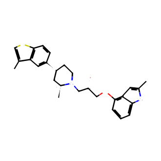 Cc1cc2c(OC[C@@H](O)CN3CC[C@H](c4ccc5scc(C)c5c4)C[C@@H]3C)cccc2[nH]1